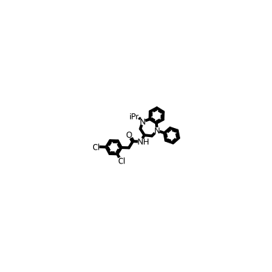 CC(C)N1CC(NC(=O)Cc2ccc(Cl)cc2Cl)CN(c2ccccc2)c2ccccc21